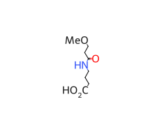 COCCC(=O)NCCCC(=O)O